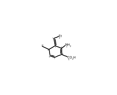 CCC=C1C(N)=C(C(=O)O)C=CC1C